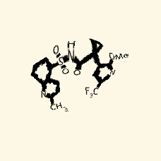 COc1ncc(C(F)(F)F)cc1C1(C(=O)NS(=O)(=O)c2cccc3nc(C)ccc23)CC1